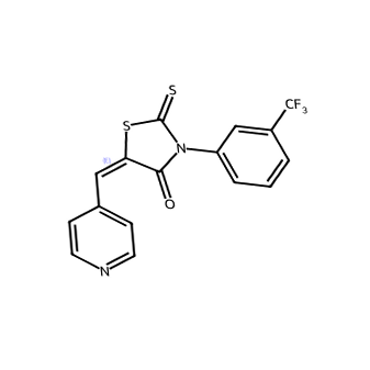 O=C1/C(=C\c2ccncc2)SC(=S)N1c1cccc(C(F)(F)F)c1